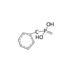 C=P(O)(O)Cc1ccccc1